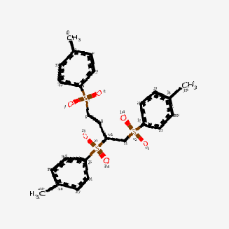 Cc1ccc(S(=O)(=O)CCC(CS(=O)(=O)c2ccc(C)cc2)S(=O)(=O)c2ccc(C)cc2)cc1